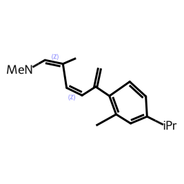 C=C(/C=C\C(C)=C/NC)c1ccc(C(C)C)cc1C